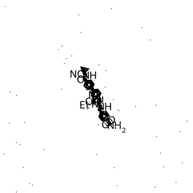 CCOc1nc(NCc2ccc(S(N)(=O)=O)cc2)nc2ccc(-c3ccc(C(=O)NC4(C#N)CC4)cc3)nc12